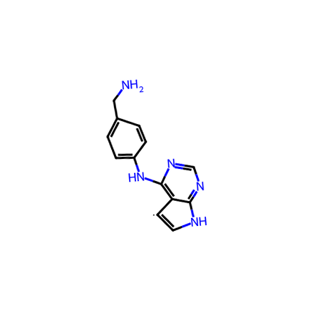 NCc1ccc(Nc2ncnc3[nH]c[c]c23)cc1